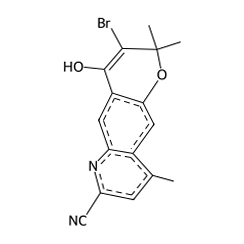 Cc1cc(C#N)nc2cc3c(cc12)OC(C)(C)C(Br)=C3O